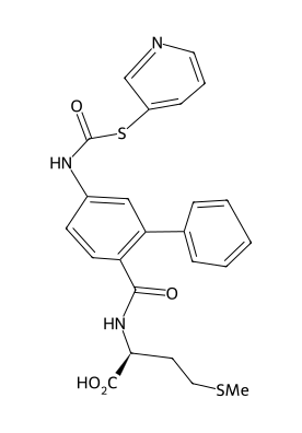 CSCC[C@H](NC(=O)c1ccc(NC(=O)Sc2cccnc2)cc1-c1ccccc1)C(=O)O